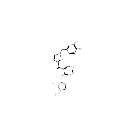 [CH2][C@@H]1C[C@@H](Nc2ncncc2C(=O)c2ccn(Cc3ccc(Cl)c(Cl)c3)n2)[C@@H](F)[C@@H]1O